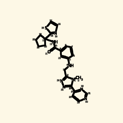 Cn1c(CNc2cccc(C(=O)NC3(c4nccs4)CCCC3)c2)nnc1-c1ccncn1